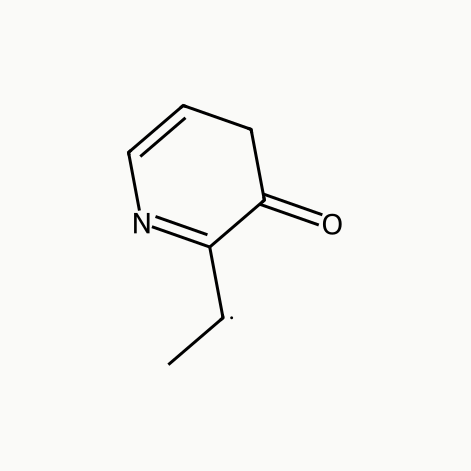 C[CH]C1=NC=CCC1=O